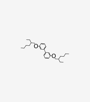 CCCCC(CC)COc1cccc(-c2cccc(OCC(CC)CCCC)c2)c1